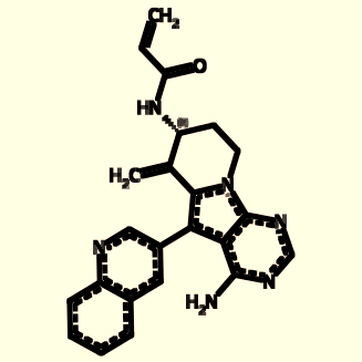 C=CC(=O)N[C@@H]1CCn2c(c(-c3cnc4ccccc4c3)c3c(N)ncnc32)C1=C